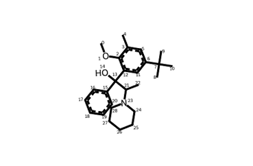 COc1c(C)cc(C(C)(C)C)cc1C(O)(c1ccccc1)C(C)N1CCCCC1